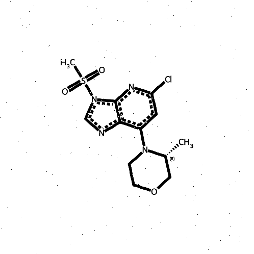 C[C@@H]1COCCN1c1cc(Cl)nc2c1ncn2S(C)(=O)=O